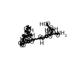 CC[C@H](C)[C@@H]([C@@H](CC(=O)N1CCC[C@H]1[C@H](OC)[C@@H](C)C(=O)N[C@@H](Cc1ccc(OC(=O)NCCCCCC(=O)NOCc2ccc(NC(=O)[C@H](CCCNC(N)=O)NC(=O)C(NC(=O)CCCC(=O)O)C(C)C)cc2)cc1)C(=O)NS(C)(=O)=O)OC)N(C)C(=O)[C@@H](NC(=O)C(C(C)C)N(C)C)C(C)C